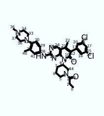 CCC(=O)N1CCC[C@H](n2c(=O)c(-c3cc(Cl)cc(Cl)c3)c(C)c3cnc(Nc4ccc(N5CCN(C)CC5)c(C)c4)nc32)C1